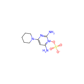 Nc1cc(N2CCCCC2)nc(N)[n+]1OS(=O)(=O)[O-]